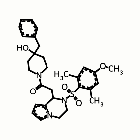 COc1cc(C)c(S(=O)(=O)N2CCn3cccc3C2CC(=O)N2CCC(O)(Cc3ccccc3)CC2)c(C)c1